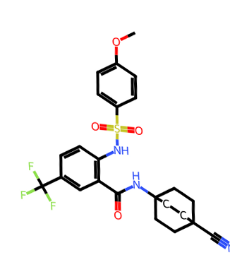 COc1ccc(S(=O)(=O)Nc2ccc(C(F)(F)F)cc2C(=O)NC23CCC(C#N)(CC2)CC3)cc1